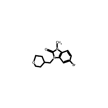 Cn1c(=O)n(CC2CCOCC2)c2cc(Br)ccc21